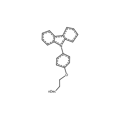 CCCCCCCCCCCCOc1ccc(-n2c3ccccc3c3ccccc32)cc1